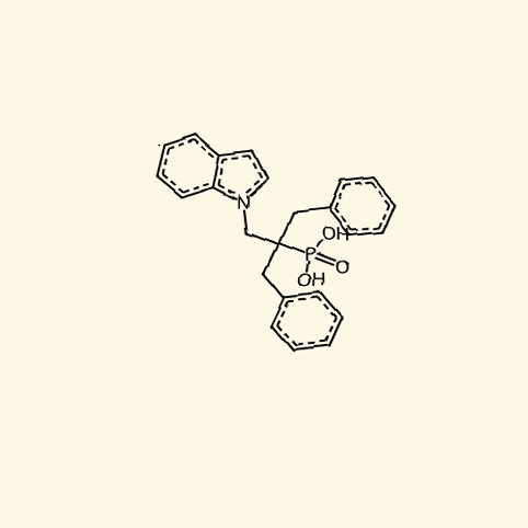 O=P(O)(O)C(Cc1ccccc1)(Cc1ccccc1)Cn1ccc2c[c]ccc21